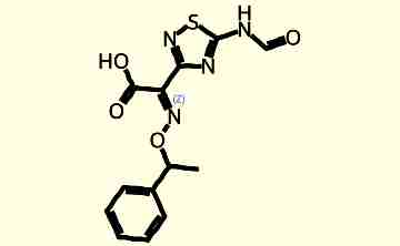 CC(O/N=C(\C(=O)O)c1nsc(NC=O)n1)c1ccccc1